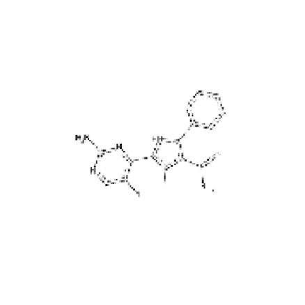 NC(=O)c1c(-c2ccccc2)[nH]c(-c2nc(N)ncc2I)c1I